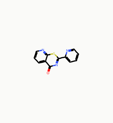 O=c1nc(-c2ccccn2)sc2ncccc12